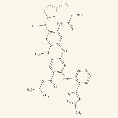 C=CC(=O)Nc1cc(Nc2ncc(C(=O)OC(C)C)c(Nc3ccccc3-c3ccn(C)n3)n2)c(OC)cc1N(C)[C@@H]1CCN(C)C1